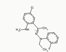 CCN(/N=C(\C)c1cc(Cl)ccc1NC)c1ccccc1F